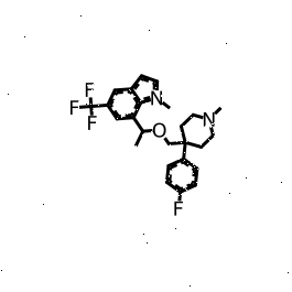 CC(OCC1(c2ccc(F)cc2)CCN(C)CC1)c1cc(C(F)(F)F)cc2ccn(C)c12